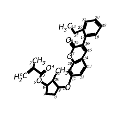 C=C(C)C(=O)OC1CCC(Oc2ccc3cc(-c4ccccc4CC)c(=O)oc3c2)C1C